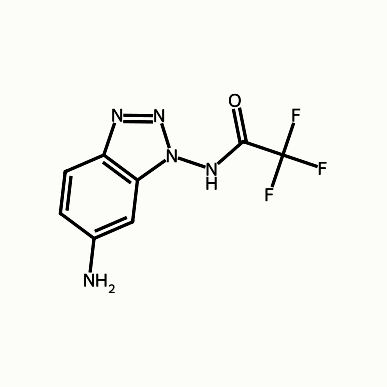 Nc1ccc2nnn(NC(=O)C(F)(F)F)c2c1